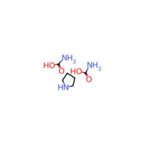 C1CCNC1.NC(=O)O.NC(=O)O